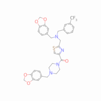 O=C(c1csc(CN(Cc2cccc(C(F)(F)F)c2)Cc2ccc3c(c2)OCO3)n1)N1CCN(Cc2ccc3c(c2)OCO3)CC1